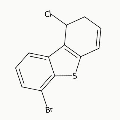 ClC1CC=Cc2sc3c(Br)cccc3c21